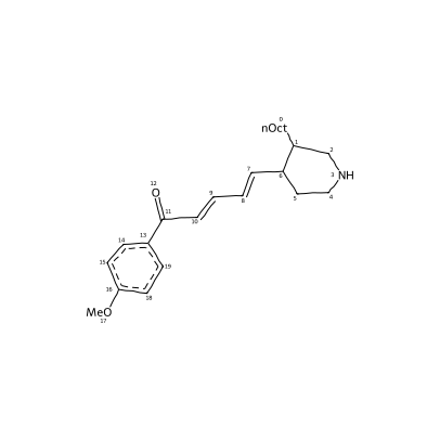 CCCCCCCCC1CNCCC1C=CC=CC(=O)c1ccc(OC)cc1